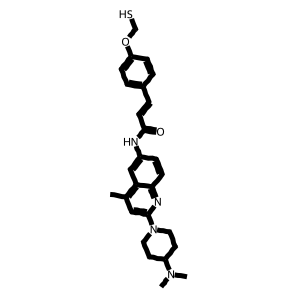 Cc1cc(N2CCC(N(C)C)CC2)nc2ccc(NC(=O)C=Cc3ccc(OCS)cc3)cc12